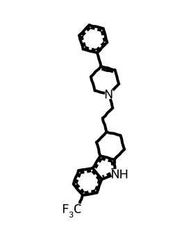 FC(F)(F)c1ccc2c3c([nH]c2c1)CCC(CCN1CC=C(c2ccccc2)CC1)C3